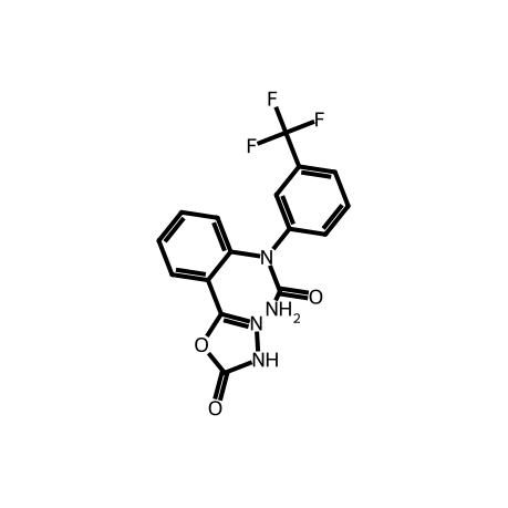 NC(=O)N(c1cccc(C(F)(F)F)c1)c1ccccc1-c1n[nH]c(=O)o1